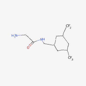 NCC(=O)NCC1CC(C(F)(F)F)CC(C(F)(F)F)C1